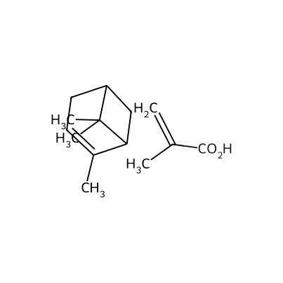 C=C(C)C(=O)O.CC1=CCC2CC1C2(C)C